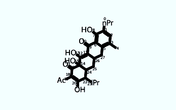 CCCc1cc(C)c2c(c1O)C(=O)C1=C(O)C3(O)C(=O)C(C(C)=O)=C(O)C(C(C)C)C3CC1C2